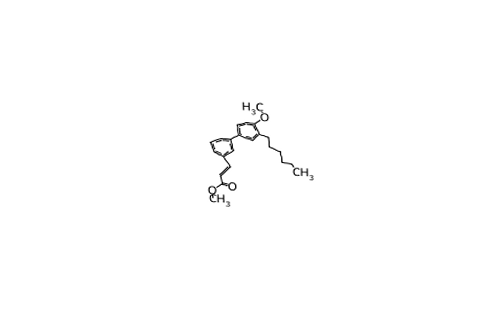 CCCCCCc1cc(-c2cccc(C=CC(=O)OC)c2)ccc1OC